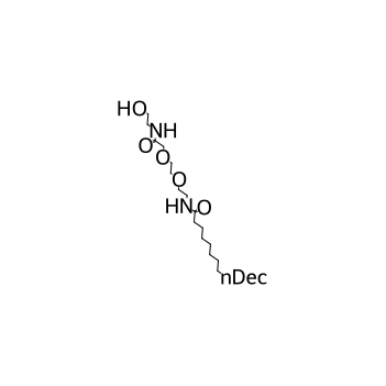 CCCCCCCCCCCCCCCCCC(=O)NCCOCCOCC(=O)NCCO